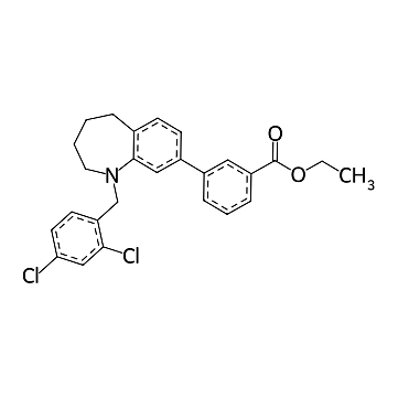 CCOC(=O)c1cccc(-c2ccc3c(c2)N(Cc2ccc(Cl)cc2Cl)CCCC3)c1